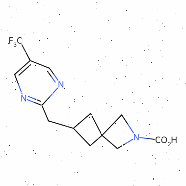 O=C(O)N1CC2(CC(Cc3ncc(C(F)(F)F)cn3)C2)C1